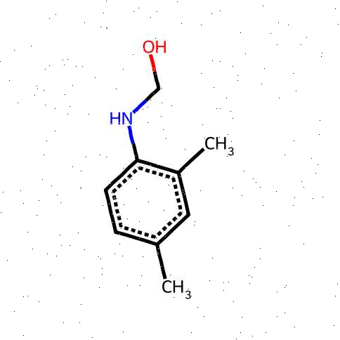 Cc1ccc(NCO)c(C)c1